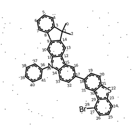 CC1(C)c2ccccc2-c2cc3c(cc21)c1cc(-c2ccc4sc5cccc(Br)c5c4c2)ccc1n3-c1ccccc1